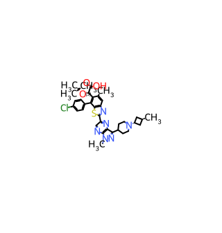 Cc1cc2nc(-c3cnc4c(n3)c(C3CCN([C@H]5C[C@H](C)C5)CC3)nn4C)sc2c(-c2ccc(Cl)cc2)c1[C@H](OC(C)(C)C)C(=O)O